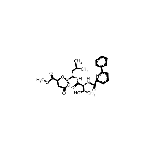 COC(=O)C1CC(=O)OB([C@H](CC(C)C)NC(=O)[C@@H](NC(=O)c2cccc(-c3ccccc3)n2)[C@@H](C)O)O1